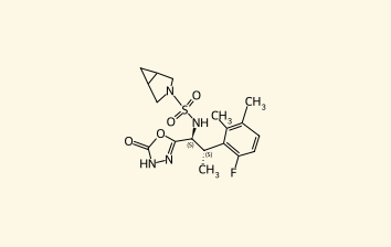 Cc1ccc(F)c([C@H](C)[C@H](NS(=O)(=O)N2CC3CC3C2)c2n[nH]c(=O)o2)c1C